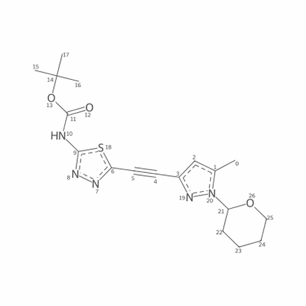 Cc1cc(C#Cc2nnc(NC(=O)OC(C)(C)C)s2)nn1C1CCCCO1